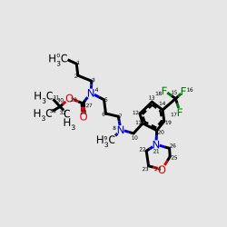 CCCCN(CCCN(C)Cc1ccc(C(F)(F)F)cc1N1CCOCC1)C(=O)OC(C)(C)C